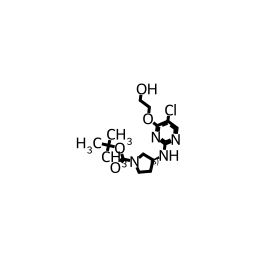 CC(C)(C)OC(=O)N1CC[C@H](Nc2ncc(Cl)c(OCCO)n2)C1